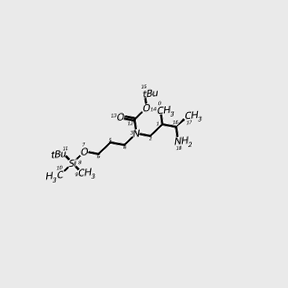 CC(CN(CCCO[Si](C)(C)C(C)(C)C)C(=O)OC(C)(C)C)[C@@H](C)N